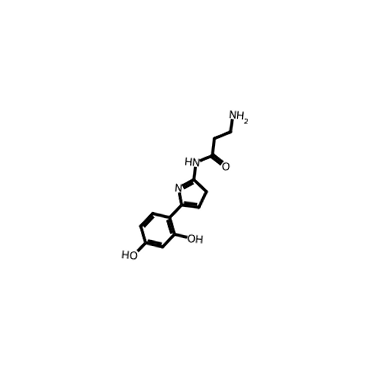 NCCC(=O)NC1=NC(c2ccc(O)cc2O)=CC1